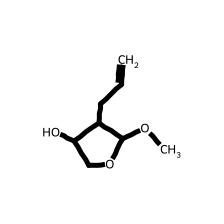 C=CCC1C(O)COC1OC